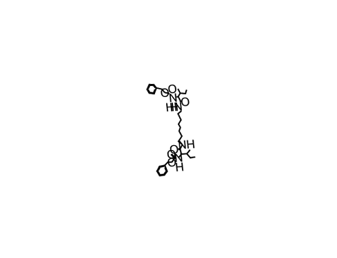 CCC(C)C(NC(=O)OCc1ccccc1)C(=O)NCCCCCCCCNC(=O)C(NC(=O)OCc1ccccc1)C(C)CC